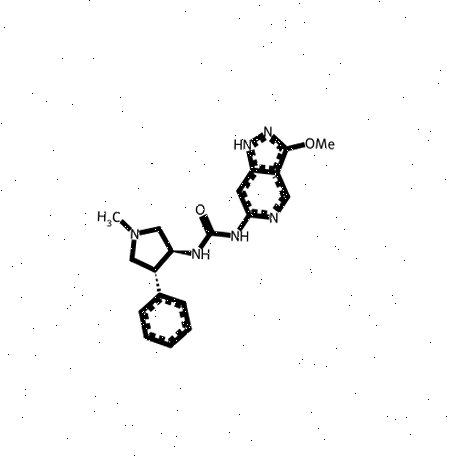 COc1n[nH]c2cc(NC(=O)N[C@@H]3CN(C)C[C@H]3c3ccccc3)ncc12